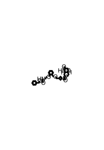 O=C1CO[C@H]2CCN(C(=O)N3CC(COCc4ccccc4OCCNC(=O)OCc4ccccc4)C3)C[C@H]2N1